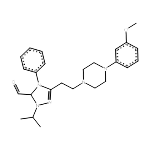 COc1cccc(N2CCN(CCC3=NN(C(C)C)C(C=O)N3c3ccccc3)CC2)c1